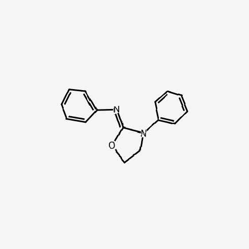 c1ccc(/N=C2\OCCN2c2ccccc2)cc1